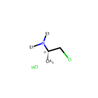 CCN(CC)[C@@H](C)CCl.Cl